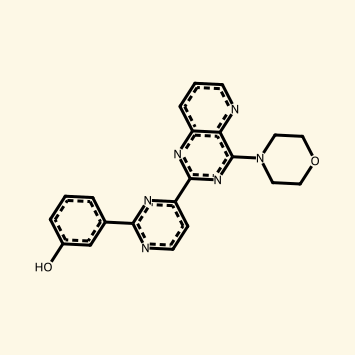 Oc1cccc(-c2nccc(-c3nc(N4CCOCC4)c4ncccc4n3)n2)c1